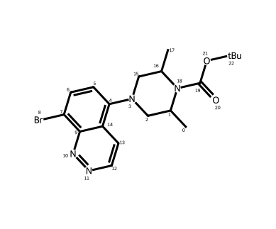 CC1CN(c2ccc(Br)c3nnccc23)CC(C)N1C(=O)OC(C)(C)C